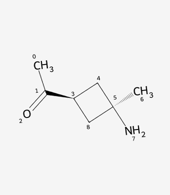 CC(=O)[C@H]1C[C@@](C)(N)C1